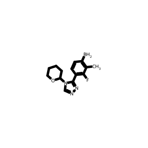 Bc1ccc(-c2nncn2C2CCCCO2)c(F)c1C